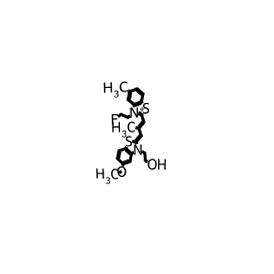 COc1ccc2c(c1)N(CCO)/C(=C/C(C)=C/c1sc3ccc(C)cc3[n+]1CCF)S2